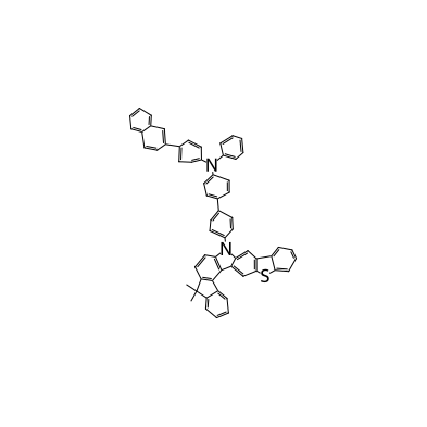 CC1(C)c2ccccc2-c2c1ccc1c2c2cc3sc4ccccc4c3cc2n1-c1ccc(-c2ccc(N(c3ccccc3)c3ccc(-c4ccc5ccccc5c4)cc3)cc2)cc1